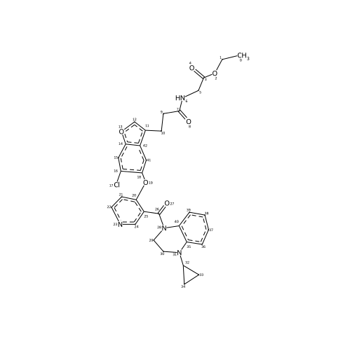 CCOC(=O)CNC(=O)CCc1coc2cc(Cl)c(Oc3ccncc3C(=O)N3CCN(C4CC4)c4ccccc43)cc12